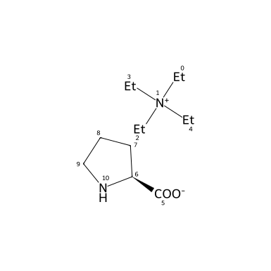 CC[N+](CC)(CC)CC.O=C([O-])[C@@H]1CCCN1